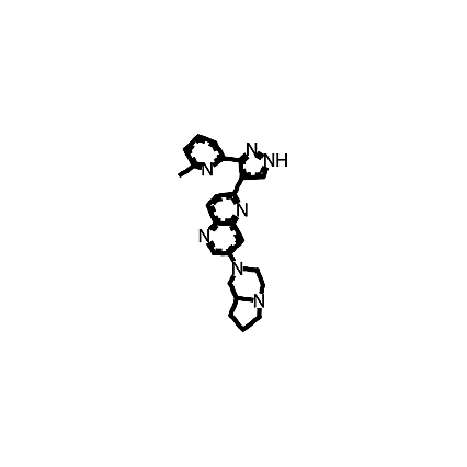 Cc1cccc(-c2n[nH]cc2-c2ccc3ncc(N4CCN5CCCC5C4)cc3n2)n1